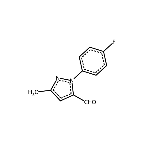 Cc1cc(C=O)n(-c2ccc(F)cc2)n1